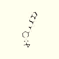 O=C(Nc1cnc2[nH]ccc2n1)NC1CCCN(S(=O)(=O)C2(I)CC2)C1